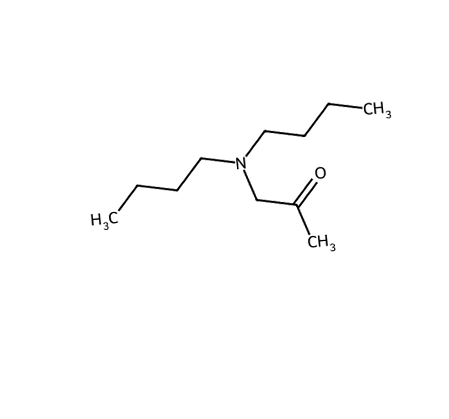 CCCCN(CCCC)CC(C)=O